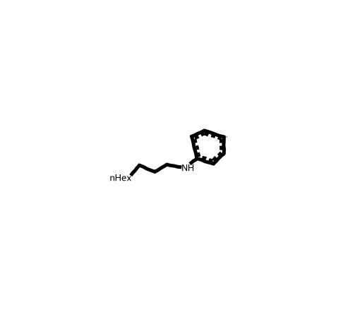 CCCCCCCCCNc1cc[c]cc1